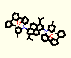 Cc1cccc(N(c2cc(C(C)C)c3ccc4c(N(c5cccc(C)c5)c5cccc6c5oc5c(-c7ccccc7C)cccc56)cc(C(C)C)c5ccc2c3c54)c2cccc3c2oc2c(-c4ccccc4C)cccc23)c1